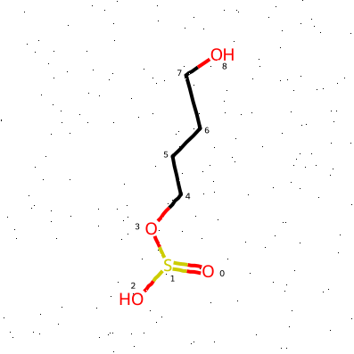 O=S(O)OCCCCO